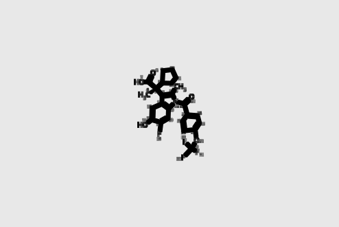 Cc1c([C@](C)(C(=O)O)C2CCCC2)c2cc(O)c(F)cc2n1C(=O)c1ccc(OC(F)(F)F)cc1